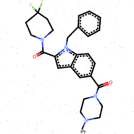 CC(C)N1CCN(C(=O)c2ccc3c(c2)cc(C(=O)N2CCC(F)(F)CC2)n3Cc2ccccc2)CC1